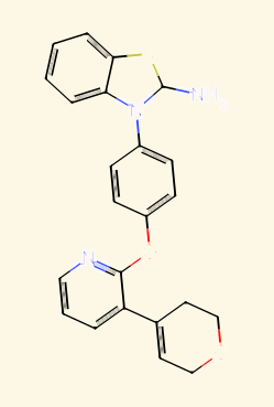 NC1Sc2ccccc2N1c1ccc(Oc2ncccc2C2=CCOCC2)cc1